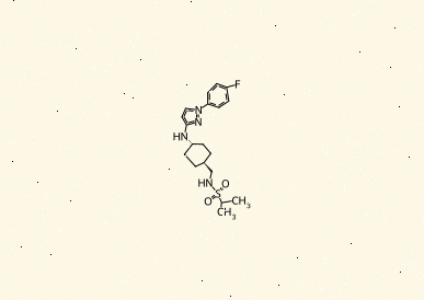 CC(C)S(=O)(=O)NC[C@H]1CC[C@H](Nc2ccn(-c3ccc(F)cc3)n2)CC1